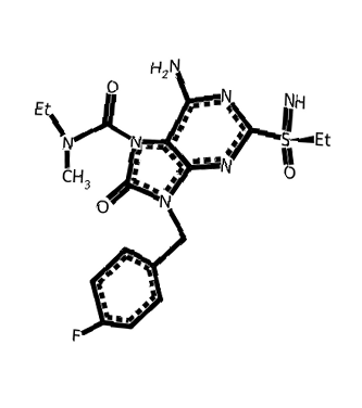 CCN(C)C(=O)n1c(=O)n(Cc2ccc(F)cc2)c2nc([S@](=N)(=O)CC)nc(N)c21